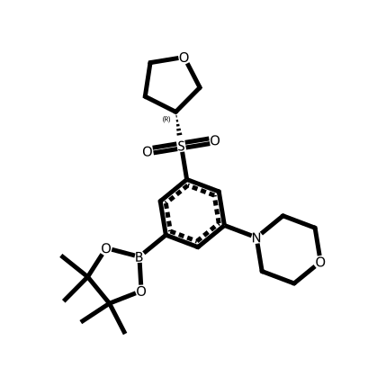 CC1(C)OB(c2cc(N3CCOCC3)cc(S(=O)(=O)[C@@H]3CCOC3)c2)OC1(C)C